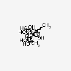 CCCCCCCC(=CC(=O)O)O[C@H]1O[C@@H](C)[C@H](O)[C@@H](O)[C@H]1O[C@H]1O[C@@H](C)[C@@H](O)[C@H](O)[C@@H]1O